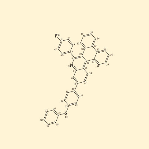 Fc1ccc(-c2nc3cc(-c4ccc(Sc5ccccc5)cc4)ccc3c3c4ccccc4c4ccccc4c23)cc1